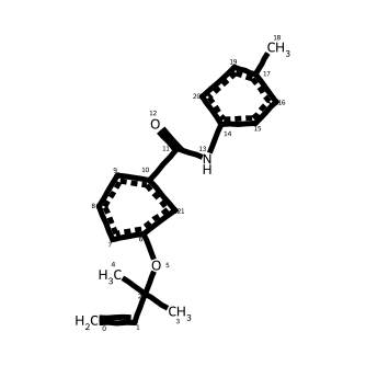 C=CC(C)(C)Oc1cccc(C(=O)Nc2ccc(C)cc2)c1